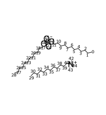 CCCCCCCCCCCCOP(=O)([O-])OCCCCCCCCCCCC.CCCCCCCCCCCC[N+](C)(C)C